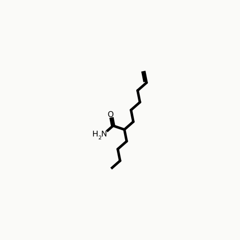 C=CCCCCC(CCCC)C(N)=O